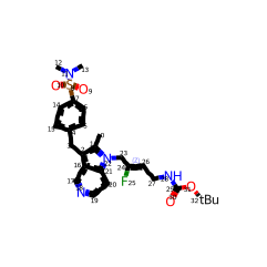 Cc1c(Cc2ccc(S(=O)(=O)N(C)C)cc2)c2cnccc2n1C/C(F)=C/CNC(=O)OC(C)(C)C